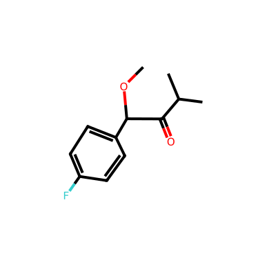 COC(C(=O)C(C)C)c1ccc(F)cc1